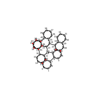 c1ccc(-c2ccccc2N(c2ccccc2-c2ccccc2)c2c(-c3cccc4ccccc34)c3ccccc3c3ccccc23)cc1